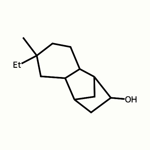 CCC1(C)CCC2C3CC(CC3O)C2C1